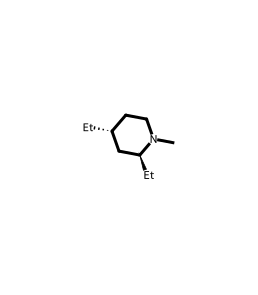 CC[C@@H]1CCN(C)[C@@H](CC)C1